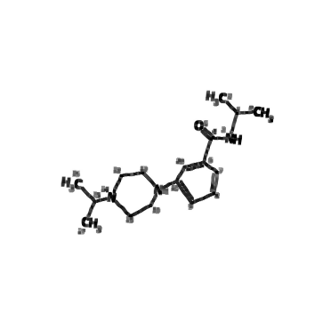 CC(C)NC(=O)c1cccc(N2CCN(C(C)C)CC2)c1